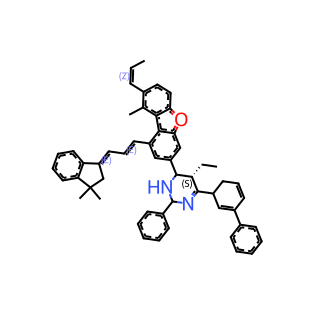 C/C=C\c1ccc2oc3cc(C4NC(c5ccccc5)N=C(C5C=C(c6ccccc6)C=CC5)[C@H]4CC)cc(/C=C/C=C4\CC(C)(C)c5ccccc54)c3c2c1C